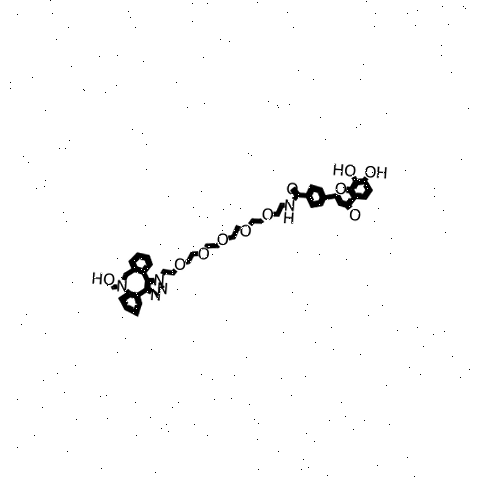 O=C(NCCOCCOCCOCCOCCOCCn1nnc2c1-c1ccccc1CN(CO)c1ccccc1-2)c1ccc(-c2cc(=O)c3ccc(O)c(O)c3o2)cc1